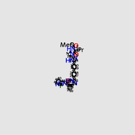 COC(=O)N[C@H](C(=O)N1CCC[C@H]1c1ncc(-c2ccc(-c3ccc(-c4cnc([C@@H]5C6CCC(C6)[C@H]5C(=O)NCc5cccnc5F)[nH]4)cc3)cc2)[nH]1)C(C)C